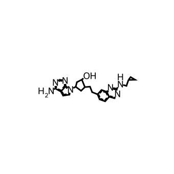 Nc1ncnc2c1ccn2C1CC(O)C(CCc2ccc3cnc(NCC4CC4)nc3c2)C1